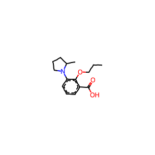 CCCOc1c(C(=O)O)cccc1N1CCCC1C